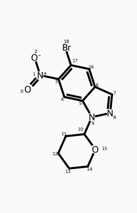 O=[N+]([O-])c1cc2c(cnn2C2CCCCO2)cc1Br